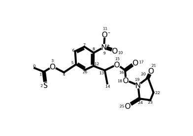 CC(=S)OCc1ccc([N+](=O)[O-])c(C(C)OC(=O)ON2C(=O)CCC2=O)c1